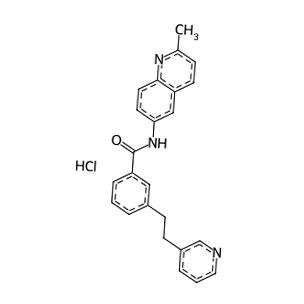 Cc1ccc2cc(NC(=O)c3cccc(CCc4cccnc4)c3)ccc2n1.Cl